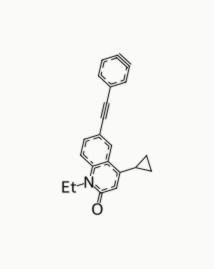 CCn1c(=O)cc(C2CC2)c2cc(C#Cc3cc#ccc3)ccc21